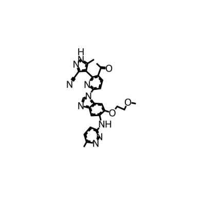 COCCOc1cc2c(cc1Nc1ccc(C)nn1)ncn2-c1ccc(C(C)=O)c(-c2c(C#N)n[nH]c2C)n1